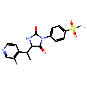 CC(c1ccncc1Cl)C1NC(=O)N(c2ccc(S(=O)(=O)C(F)(F)F)cc2)C1=O